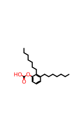 CCCCCCCc1cccc(OC(=O)O)c1CCCCCCC